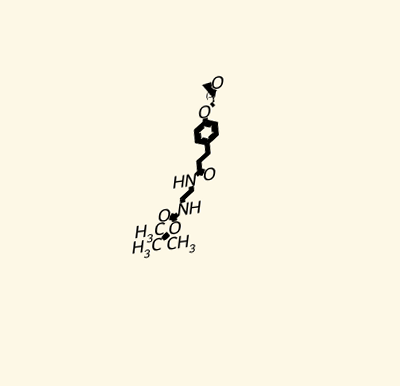 CC(C)(C)OC(=O)NCCNC(=O)CCc1ccc(OC[C@@H]2CO2)cc1